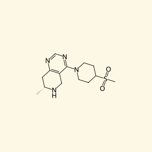 C[C@@H]1Cc2ncnc(N3CCC(S(C)(=O)=O)CC3)c2CN1